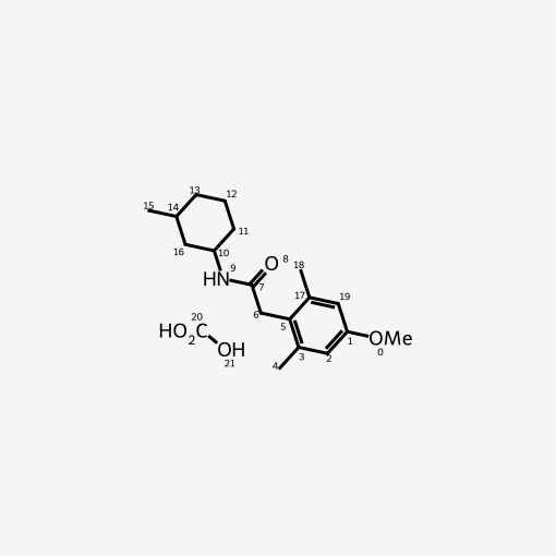 COc1cc(C)c(CC(=O)NC2CCCC(C)C2)c(C)c1.O=C(O)O